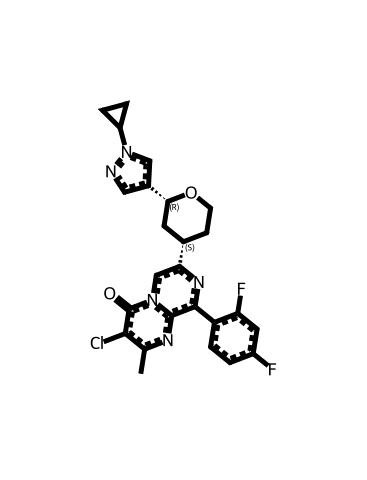 Cc1nc2c(-c3ccc(F)cc3F)nc([C@H]3CCO[C@@H](c4cnn(C5CC5)c4)C3)cn2c(=O)c1Cl